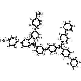 CC(C)(C)c1ccc(-c2ccc3c(c2)c2cc(-c4ccc(C(C)(C)C)cc4)ccc2n3-c2cccc(-c3ccc(N(c4ccc(-c5ccccc5)cc4)c4ccc(-c5ccccc5)cc4)cc3)c2)cc1